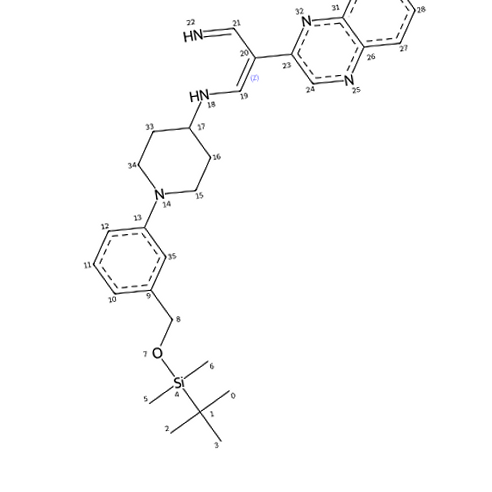 CC(C)(C)[Si](C)(C)OCc1cccc(N2CCC(N/C=C(\C=N)c3cnc4ccccc4n3)CC2)c1